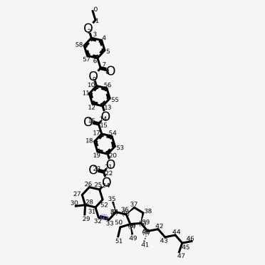 CCOc1ccc(C(=O)Oc2ccc(OC(=O)c3ccc(OC(=O)OC4CCC(C)(C)C(/C=C\[C@@H](C)[C@H]5CC[C@@H]([C@@H](C)CCCC(C)C)[C@]5(C)CC)C4)cc3)cc2)cc1